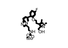 Cc1c(CCOc2cc(F)ccc2-c2ccc3ncc(CCNC(=O)OC(C)(C)C)n3c2)c(CO)nn1C